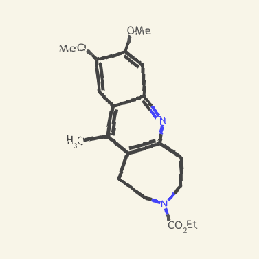 CCOC(=O)N1CCc2nc3cc(OC)c(OC)cc3c(C)c2CC1